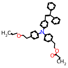 C=CCOCCc1ccc(N(c2ccc(C=C(c3ccccc3)c3ccccc3)cc2)c2ccc(CCOC(=O)C=C)cc2)cc1